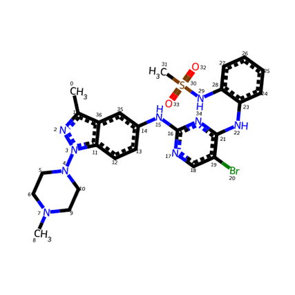 Cc1nn(N2CCN(C)CC2)c2ccc(Nc3ncc(Br)c(Nc4ccccc4NS(C)(=O)=O)n3)cc12